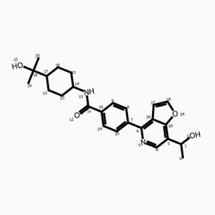 CC(O)c1cnc(-c2ccc(C(=O)NC3CCC(C(C)(C)O)CC3)cc2)c2ccoc12